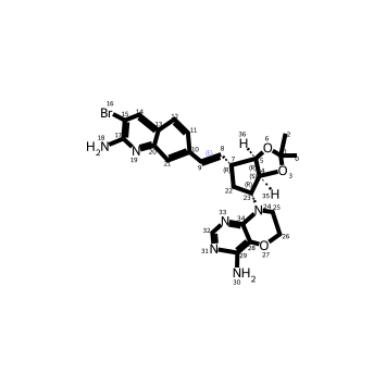 CC1(C)O[C@@H]2[C@H](O1)[C@@H](/C=C/c1ccc3cc(Br)c(N)nc3c1)C[C@H]2N1CCOc2c(N)ncnc21